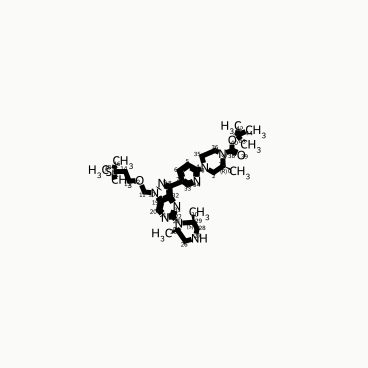 C[C@@H]1CN(c2ccc(-c3nn(COCC[Si](C)(C)C)c4cnc(N5[C@H](C)CNC[C@@H]5C)nc34)cn2)CCN1C(=O)OC(C)(C)C